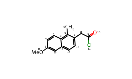 COc1ccc2c(C)c(CC(=O)Cl)ccc2c1